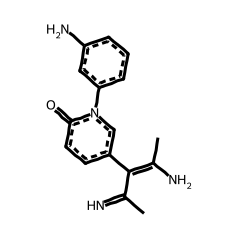 CC(=N)/C(=C(/C)N)c1ccc(=O)n(-c2cccc(N)c2)c1